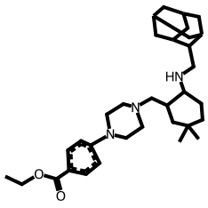 CCOC(=O)c1ccc(N2CCN(CC3CC(C)(C)CCC3NCC3C4CC5CC(C4)CC3C5)CC2)cc1